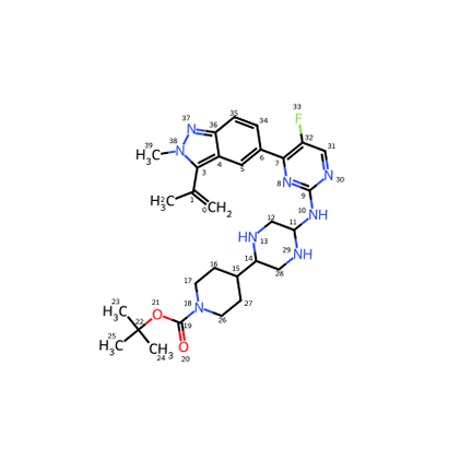 C=C(C)c1c2cc(-c3nc(NC4CNC(C5CCN(C(=O)OC(C)(C)C)CC5)CN4)ncc3F)ccc2nn1C